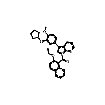 CCOc1ccc2ccccc2c1C(=O)n1cc(-c2ccc(OC)c(OC3CCCC3)c2)c2cccnc21